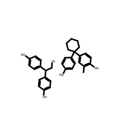 CC(C)CC(c1ccc(O)cc1)c1ccc(O)cc1.Cc1cc(C2(c3ccc(O)cc3)CCCCC2)ccc1O